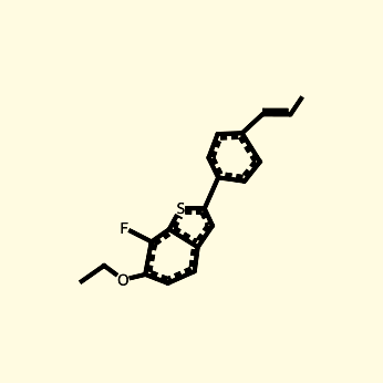 C/C=C/c1ccc(-c2cc3ccc(OCC)c(F)c3s2)cc1